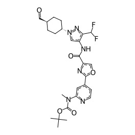 CN(C(=O)OC(C)(C)C)c1cc(-c2nc(C(=O)Nc3cn([C@H]4CC[C@H](C=O)CC4)nc3C(F)F)co2)ccn1